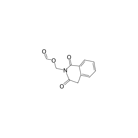 O=COCN1C(=O)Cc2ccccc2C1=O